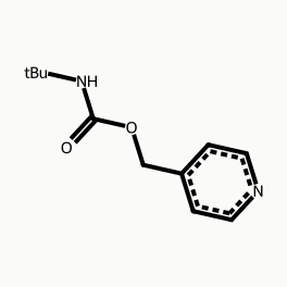 CC(C)(C)NC(=O)OCc1ccncc1